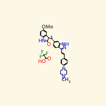 COc1ccc2c(c1)[C@]1(C[C@H]1c1ccc3c(C=Cc4ccc(N5CCN(C)CC5)cc4)n[nH]c3c1)C(=O)N2.O=C(O)C(F)(F)F